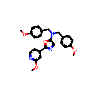 COc1ccc(CN(Cc2ccc(OC)cc2)c2cnc(-c3ccnc(OC)c3)o2)cc1